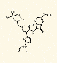 COC1=CN2C(=O)C(NC(=O)/C(=N\OCC(=O)OC(C)(C)C)c3csc(NC=O)n3)[C@H]2SC1